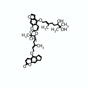 C/C(=C\COc1c2c(cc3occc13)OC1(C=C2)OC(CC/C(C)=C/COc2c3c(cc4oc(=O)ccc24)CC=C3)C(C)(C)O1)CCC(O)C(C)(C)O